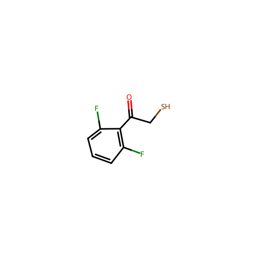 O=C(CS)c1c(F)cccc1F